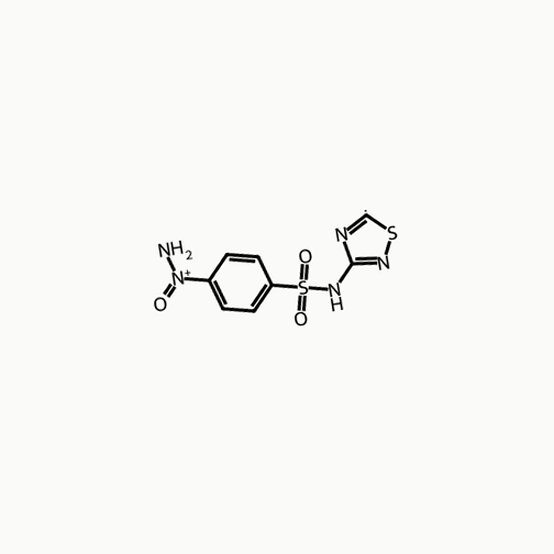 N[N+](=O)c1ccc(S(=O)(=O)Nc2n[c]sn2)cc1